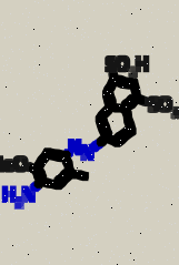 COc1cc(N=Nc2ccc3c(S(=O)(=O)O)cc(S(=O)(=O)O)cc3c2)c(C)cc1N